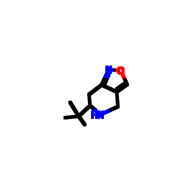 CC(C)(C)C1Cc2nocc2CN1